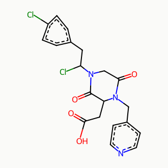 O=C(O)CC1C(=O)N(C(Cl)Cc2ccc(Cl)cc2)CC(=O)N1Cc1ccncc1